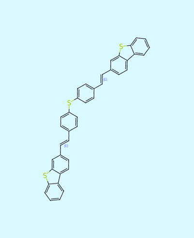 C(=C\c1ccc2c(c1)sc1ccccc12)/c1ccc(Sc2ccc(/C=C/c3ccc4c(c3)sc3ccccc34)cc2)cc1